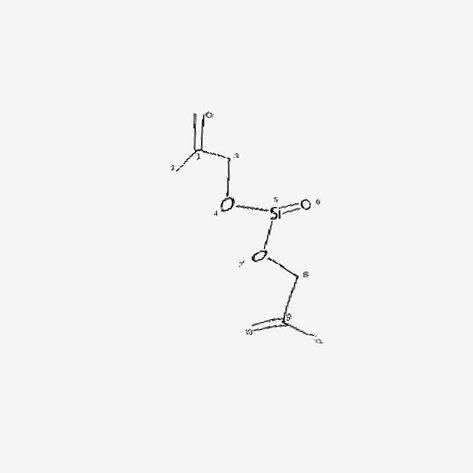 C=C(C)CO[Si](=O)OCC(=C)C